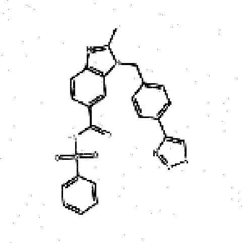 Cc1nc2ccc(C(=O)NS(=O)(=O)c3ccccc3)cc2n1Cc1ccc(-c2csnn2)cc1